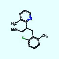 CNC[C@H](Cc1c(C)cccc1F)c1ncccc1C